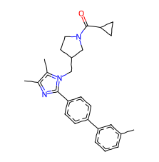 Cc1cccc(-c2ccc(-c3nc(C)c(C)n3CC3CCN(C(=O)C4CC4)C3)cc2)c1